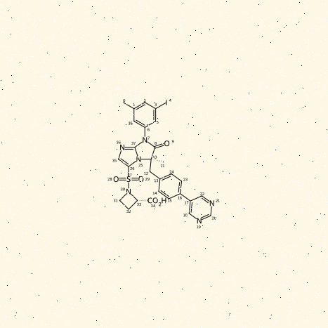 Cc1cc(I)cc(N2C(=O)[C@@](C)(Cc3ccc(-c4cncnc4)cc3)n3c(S(=O)(=O)N4CC[C@H]4C(=O)O)cnc32)c1